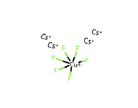 [Cs+].[Cs+].[Cs+].[Cs+].[F][Cu-4]([F])([F])([F])([F])[F]